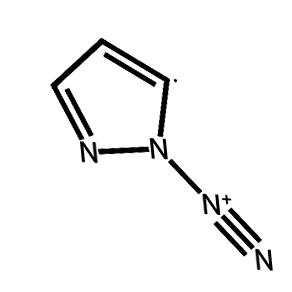 N#[N+]n1[c]ccn1